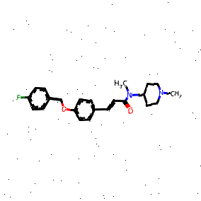 CN1CCC(N(C)C(=O)/C=C/c2ccc(OCc3ccc(F)cc3)cc2)CC1